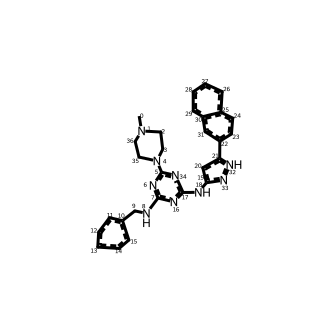 CN1CCN(c2nc(NCc3ccccc3)nc(Nc3cc(-c4ccc5ccccc5c4)[nH]n3)n2)CC1